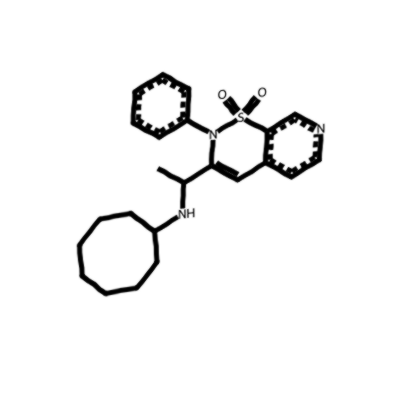 CC(NC1CCCCCCC1)C1=Cc2ccncc2S(=O)(=O)N1c1ccccc1